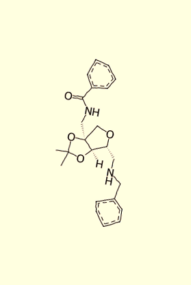 CC1(C)O[C@@H]2[C@@H](CNCc3ccccc3)OC[C@]2(CNC(=O)c2ccccc2)O1